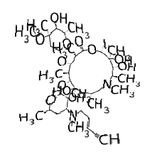 C#C/C=C/CN(C)[C@H]1C[C@@H](C)O[C@@H](O[C@@H]2[C@@H](C)[C@H](O[C@@H]3C[C@@](C)(OC)[C@@H](O)[C@H](C)O3)[C@@H](C)C(=O)O[C@H](I)[C@@](C)(O)[C@H](O)[C@@H](C)N(C)C[C@H](C)C[C@@]2(C)O)[C@@H]1O